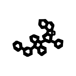 c1ccc(-c2cccc(-c3c4ccccc4c(-c4cc(-c5ccccc5)c5oc6ccc7ccccc7c6c5c4)c4ccccc34)c2)cc1